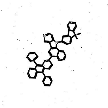 CC1(C)c2ccccc2-c2cc(-n3c4ccncc4c4cc(-c5ccc6c(-c7ccccc7)c7ccccc7c(-c7ccccc7)c6c5)c5ccccc5c43)ccc21